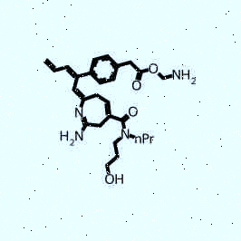 C=C/C=C(\C=C1/CC=C(C(=O)N(CCC)CCCO)CC(N)=N1)c1ccc(CC(=O)OCN)cc1